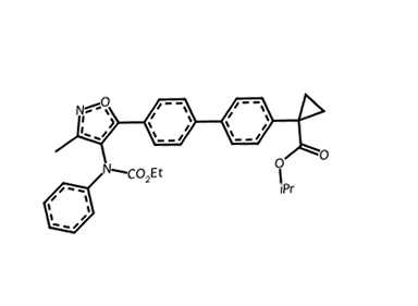 CCOC(=O)N(c1ccccc1)c1c(C)noc1-c1ccc(-c2ccc(C3(C(=O)OC(C)C)CC3)cc2)cc1